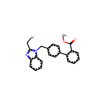 CC(C)Cc1nc2ccccc2n1Cc1ccc(-c2ccccc2C(=O)OC(C)(C)C)cc1